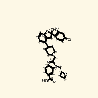 CC1(c2ccc(Cl)cc2F)Cc2c(cccc2C2CCN(Cc3nc4ccc(C(=O)O)cc4n3C[C@@H]3CCO3)CC2)O1